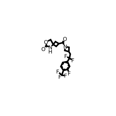 O=C1NC2(CO1)CC(C(=O)N1CC(CC(F)(F)c3ccc(C(F)(F)F)c(F)c3)C1)C2